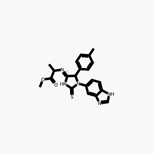 COC(=O)C(C)/N=C1\NC(=S)N(c2ccc3[nH]cnc3c2)C1c1ccc(C)cc1